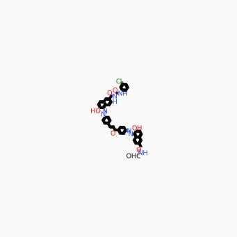 O=CNOCc1ccc2c(N=Nc3ccc(C(=O)C=Cc4ccc(N=Nc5c(O)ccc6cc(C(=O)NC(=O)Nc7cccc(Cl)c7)ccc56)cc4)cc3)c(O)ccc2c1